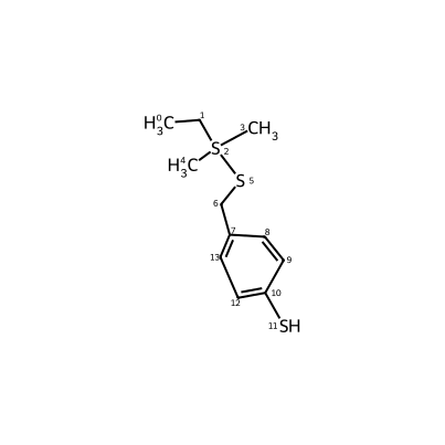 CCS(C)(C)SCc1ccc(S)cc1